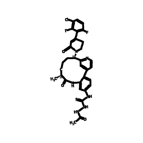 CC(=O)NNC(=S)Nc1ccc2c(c1)NC(=O)[C@H](C)CCC[C@H](N1CCC(c3c(F)ccc(Cl)c3F)=CC1=O)c1cc-2ccn1